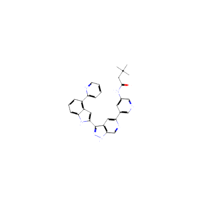 CC(C)(C)CC(=O)Nc1cncc(-c2cc3c(-c4cc5c(-c6ccccn6)cccc5[nH]4)n[nH]c3cn2)c1